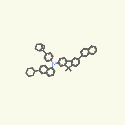 CC1(C)c2ccc(-c3ccc4ccccc4c3)cc2-c2ccc(N(c3ccc(C4CC5CCC4C5)cc3)c3cccc4cc(C5CCCCC5)ccc34)cc21